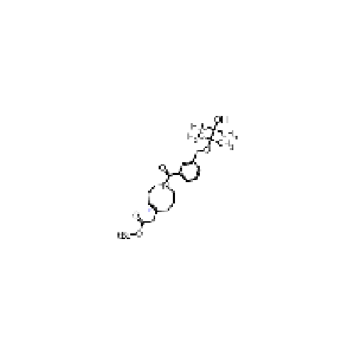 CC(C)(C)OC(=O)C/C1=C/CCN(C(=O)c2cccc(COC(C)(C)C(C)(C)O)c2)CCC1